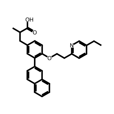 CCc1ccc(CCOc2ccc(CC(C)C(=O)O)cc2-c2ccc3ccccc3c2)nc1